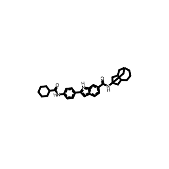 O=C(NC12CC3CCCC(C1)C(C3)C2)c1ccc2cc(-c3ccc(NC(=O)C4CCCCC4)cc3)[nH]c2c1